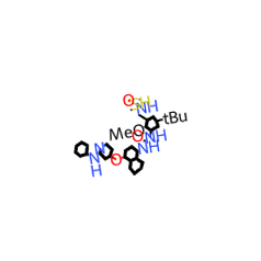 COc1c(CN[SH](C)(C)=O)cc(C(C)(C)C)cc1NC(=O)Nc1ccc(Oc2ccnc(Nc3ccccc3)c2)c2ccccc12